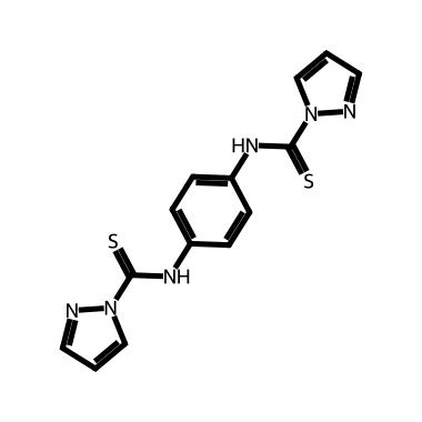 S=C(Nc1ccc(NC(=S)n2cccn2)cc1)n1cccn1